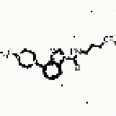 CN1CCN(c2cccc3c2ncn3C(=O)NCCCC(F)(F)F)CC1